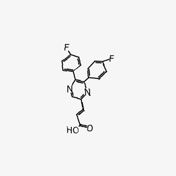 O=C(O)C=Cc1cnc(-c2ccc(F)cc2)c(-c2ccc(F)cc2)n1